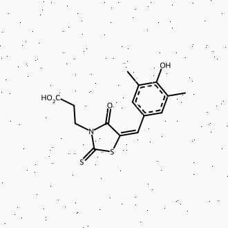 Cc1cc(C=C2SC(=S)N(CCC(=O)O)C2=O)cc(C)c1O